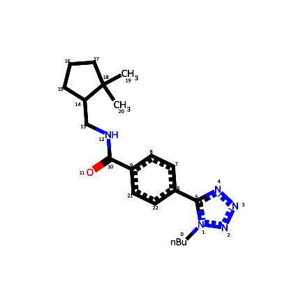 CCCCn1nnnc1-c1ccc(C(=O)NCC2CCCC2(C)C)cc1